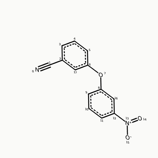 N#Cc1cccc(Oc2cccc([N+](=O)[O-])c2)c1